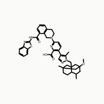 COC12CC(C)C3CCC(C)(C1)CC3(Cn1ncc(-c3ccc(N4CCc5cccc(C(=O)Nc6nc7ccccc7s6)c5C4)nc3C(=O)O)c1C)C2